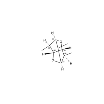 CC1[C@@H]2O[C@@H]3[C@@H](C)[C@H]1O[C@@H]3[C@H]2C